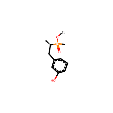 CCOP(C)(=O)[C@H](C)Cc1cccc(O)c1